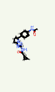 CC(=O)Nc1ccc(-c2cccc3nc(NC(=O)C4CC4)nn23)cc1